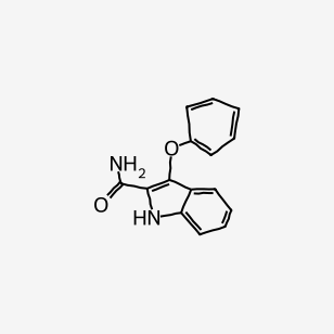 NC(=O)c1[nH]c2ccccc2c1Oc1ccccc1